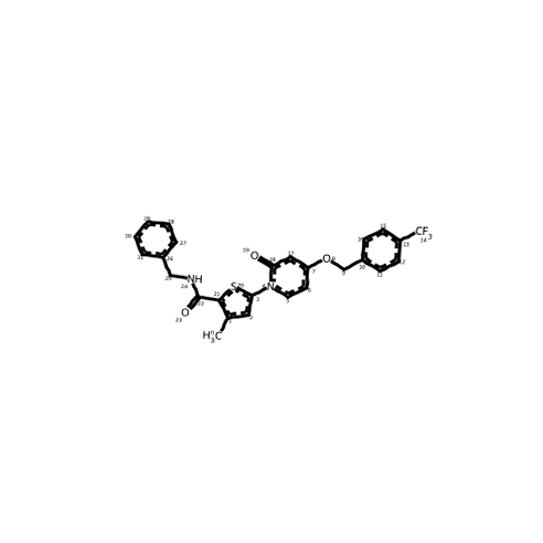 Cc1cc(-n2ccc(OCc3ccc(C(F)(F)F)cc3)cc2=O)sc1C(=O)NCc1ccccc1